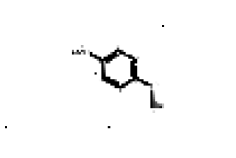 CCCCSc1ccc(OC)cc1